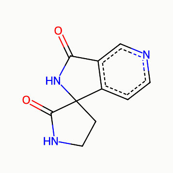 O=C1NC2(CCNC2=O)c2ccncc21